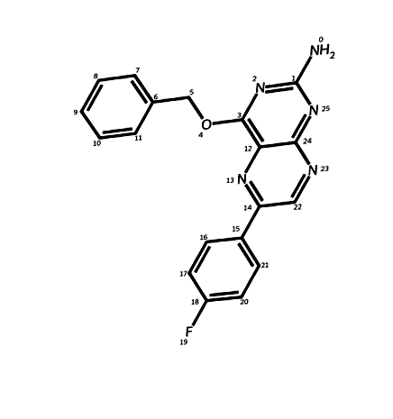 Nc1nc(OCc2ccccc2)c2nc(-c3ccc(F)cc3)cnc2n1